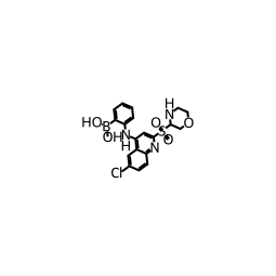 O=S(=O)(c1cc(Nc2ccccc2B(O)O)c2cc(Cl)ccc2n1)C1COCCN1